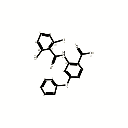 O=C(O)c1ccc(Oc2ccccc2)cc1NC(=O)c1c(Cl)cccc1Cl